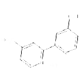 Cl.O=C(O)c1ccnc(-c2cc(C(=O)O)ccn2)c1